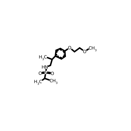 COCCOc1ccc(C(C)CNS(=O)(=O)C(C)C)cc1